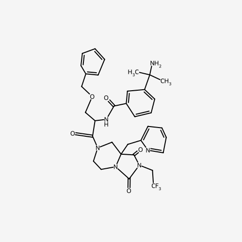 CC(C)(N)c1cccc(C(=O)NC(COCc2ccccc2)C(=O)N2CCN3C(=O)N(CC(F)(F)F)C(=O)C3(Cc3ccccn3)C2)c1